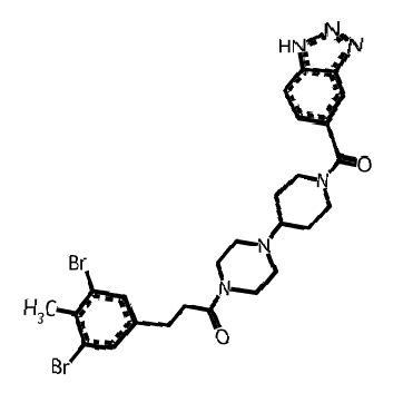 Cc1c(Br)cc(CCC(=O)N2CCN(C3CCN(C(=O)c4ccc5[nH]nnc5c4)CC3)CC2)cc1Br